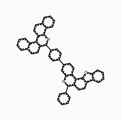 c1ccc(-c2nc3cc(-c4ccc(-c5nc6c7ccccc7ccc6c6c5ccc5ccccc56)cc4)ccc3c3c2ccc2c4ccccc4oc23)cc1